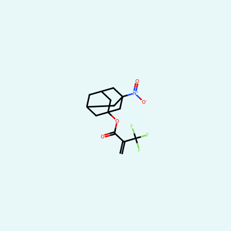 C=C(C(=O)OC12CC3CC(C1)CC([N+](=O)[O-])(C3)C2)C(F)(F)F